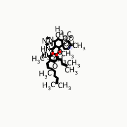 COC(=O)/C(C)=C\CC1(O)C(=O)C(C)C2C3=C(Nc4ncn2n4)c2c(OC)c4c(c(CC=C(C)C)c2OC31C(C)C(C)C)OC(C)(CCC=C(C)C)C=C4